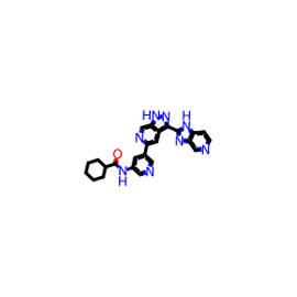 O=C(Nc1cncc(-c2cc3c(-c4nc5cnccc5[nH]4)n[nH]c3cn2)c1)C1CCCCC1